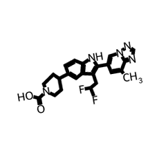 Cc1cc(-c2[nH]c3ccc(C4CCN(C(=O)O)CC4)cc3c2CC(F)F)cn2ncnc12